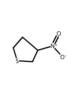 O=[N+]([O-])C1CCSC1